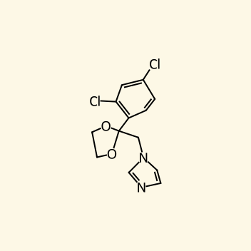 Clc1ccc(C2(Cn3ccnc3)OCCO2)c(Cl)c1